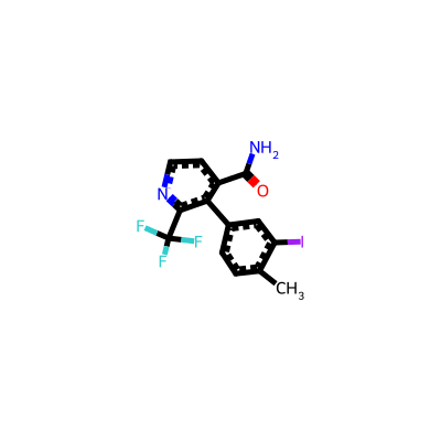 Cc1ccc(-c2c(C(N)=O)ccnc2C(F)(F)F)cc1I